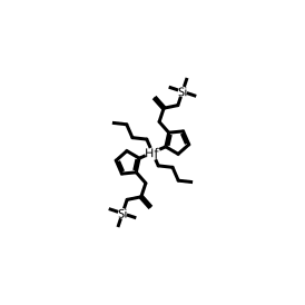 C=C(CC1=[C]([Hf]([CH2]CCC)([CH2]CCC)[C]2=C(CC(=C)C[Si](C)(C)C)C=CC2)CC=C1)C[Si](C)(C)C